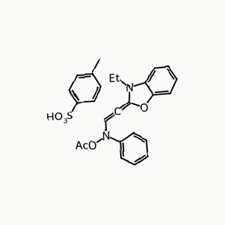 CCN1C(=C=CN(OC(C)=O)c2ccccc2)Oc2ccccc21.Cc1ccc(S(=O)(=O)O)cc1